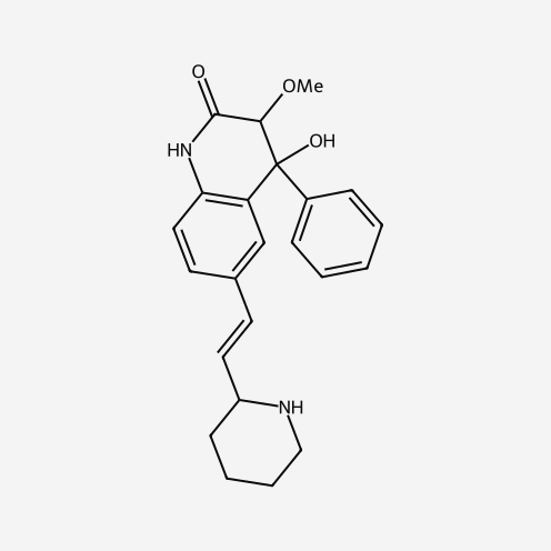 COC1C(=O)Nc2ccc(/C=C/C3CCCCN3)cc2C1(O)c1ccccc1